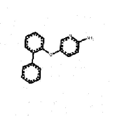 Nc1ccc(Oc2ccccc2-c2ccccc2)cn1